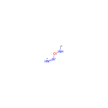 CNON=N